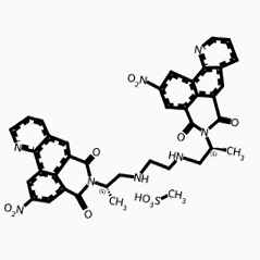 CS(=O)(=O)O.C[C@@H](CNCCNC[C@H](C)N1C(=O)c2cc([N+](=O)[O-])cc3c2c(cc2cccnc23)C1=O)N1C(=O)c2cc([N+](=O)[O-])cc3c2c(cc2cccnc23)C1=O